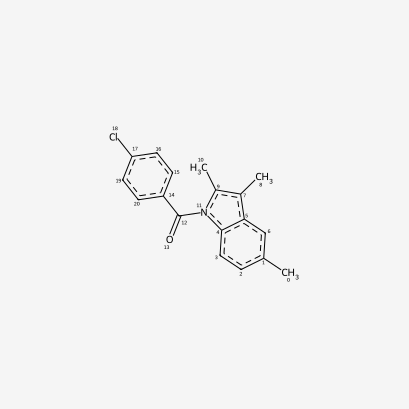 Cc1ccc2c(c1)c(C)c(C)n2C(=O)c1ccc(Cl)cc1